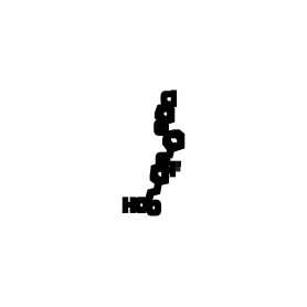 O=C(O)CCc1ccc(OCc2cccc(Oc3ccc(Cl)cc3)c2)c(F)c1